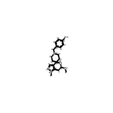 COC1Cc2c(cnn2C)C2(CCN(Cc3ccc(F)cc3)CC2)O1